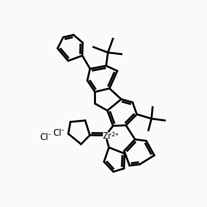 CC(C)(C)c1cc2c(cc1-c1ccccc1)Cc1c-2cc(C(C)(C)C)c(-c2ccccc2)[c]1[Zr+2](=[C]1CCCC1)[CH]1C=CC=C1.[Cl-].[Cl-]